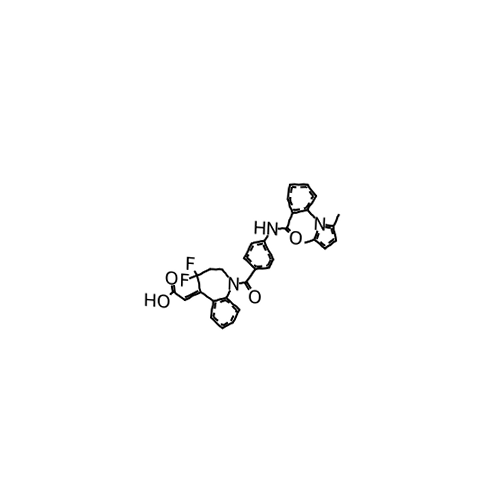 Cc1ccc(C)n1-c1ccccc1C(=O)Nc1ccc(C(=O)N2CCC(F)(F)/C(=C\C(=O)O)c3ccccc32)cc1